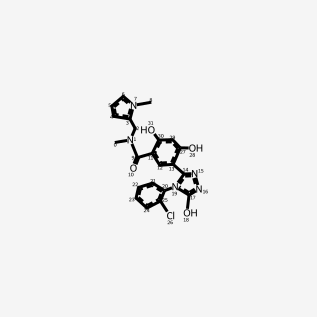 CN(Cc1cccn1C)C(=O)c1cc(-c2nnc(O)n2-c2ccccc2Cl)c(O)cc1O